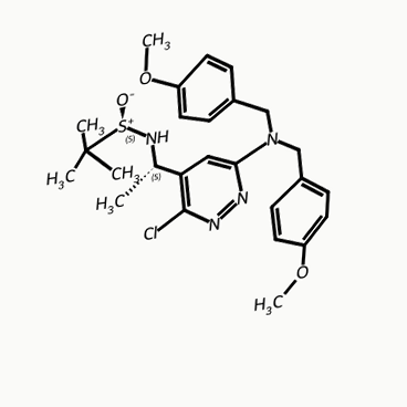 COc1ccc(CN(Cc2ccc(OC)cc2)c2cc([C@H](C)N[S@+]([O-])C(C)(C)C)c(Cl)nn2)cc1